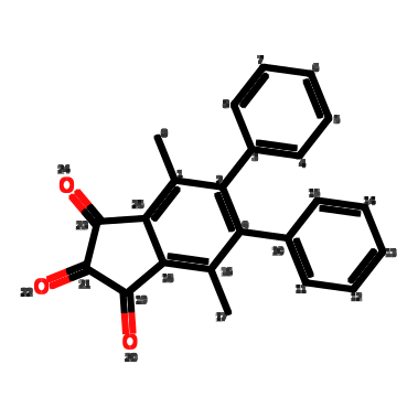 Cc1c(-c2ccccc2)c(-c2ccccc2)c(C)c2c(=O)c(=O)c(=O)c12